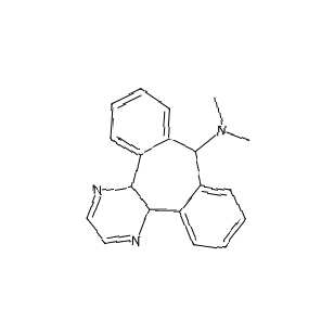 CN(C)C1c2ccccc2C2N=CC=NC2c2ccccc21